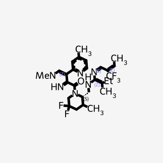 C\C=C(/C=N\C(NC[C@@H]1C(C)CC(F)(F)CN1C(=O)C(=N)/C(=C\NC)c1cc(C)ccn1)=C(\C)CC)C(F)(F)F